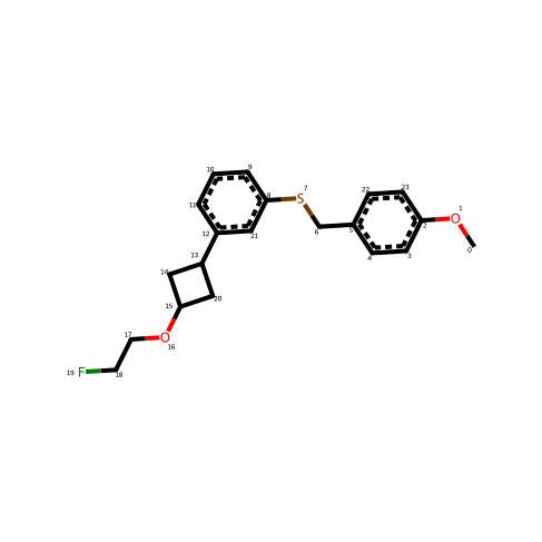 COc1ccc(CSc2cccc(C3CC(OCCF)C3)c2)cc1